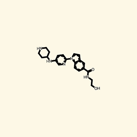 O=C(NCCO)c1ccc2c(ccn2-c2ccc(NC3CCNCC3)cn2)c1